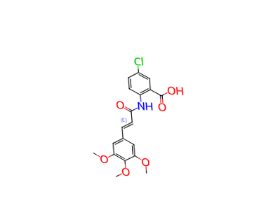 COc1cc(/C=C/C(=O)Nc2ccc(Cl)cc2C(=O)O)cc(OC)c1OC